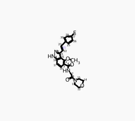 COc1c(C(=O)NCC(=O)N2CCOCC2)ccc2[nH]nc(/C=C/c3ccc(F)cc3)c12